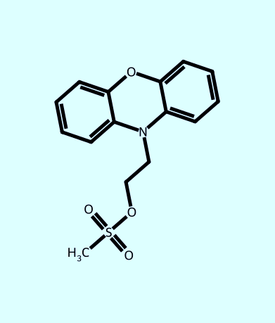 CS(=O)(=O)OCCN1c2ccccc2Oc2ccccc21